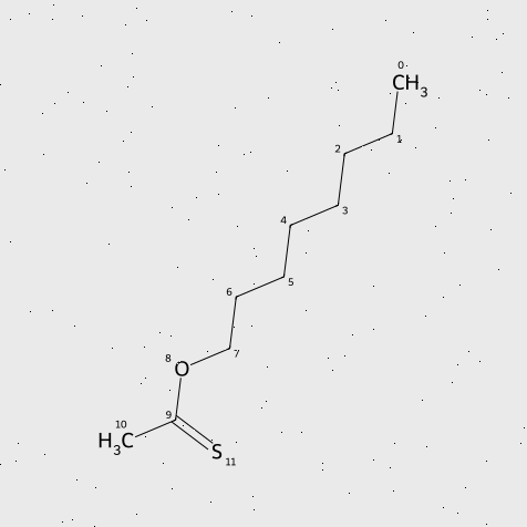 CCCCCCCCOC(C)=S